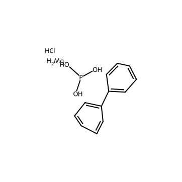 Cl.OP(O)O.[MgH2].c1ccc(-c2ccccc2)cc1